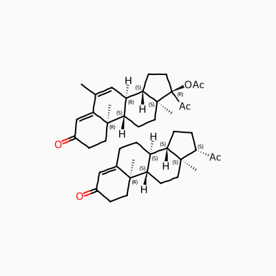 CC(=O)O[C@]1(C(C)=O)CC[C@H]2[C@@H]3C=C(C)C4=CC(=O)CC[C@]4(C)[C@H]3CC[C@@]21C.CC(=O)[C@H]1CC[C@H]2[C@@H]3CCC4=CC(=O)CC[C@]4(C)[C@H]3CC[C@]12C